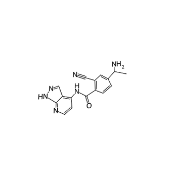 CC(N)c1ccc(C(=O)Nc2ccnc3[nH]ncc23)c(C#N)c1